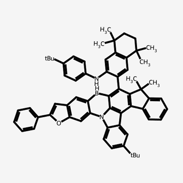 CC(C)(C)c1ccc(Nc2cc3c(cc2-c2c4c(c5c6cc(C(C)(C)C)ccc6n6c5c2Bc2cc5cc(-c7ccccc7)oc5cc2-6)-c2ccccc2C4(C)C)C(C)(C)CCC3(C)C)cc1